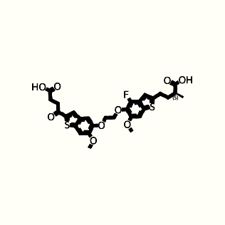 COc1cc2sc(C(=O)CCC(=O)O)cc2cc1OCCOc1c(OC)cc2sc(CC[C@H](C)C(=O)O)cc2c1F